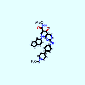 CONC(=O)c1cn(-c2ccc3c(c2)CCC3)c2nc(Nc3ccc(C4CCN(CC(F)(F)F)CC4)cc3)ncc2c1=O